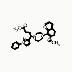 COc1ccc2cccnc2c1N1CCCN(C(CCC(C)=O)c2ccn(-c3ccccc3)n2)CC1